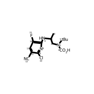 CC(CN(C(=O)O)C(C)(C)C)Nc1nc(Cl)c(C#N)cc1F